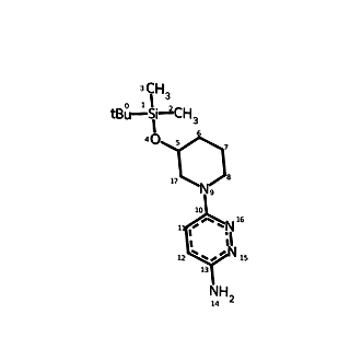 CC(C)(C)[Si](C)(C)OC1CCCN(c2ccc(N)nn2)C1